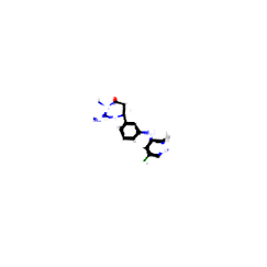 CN1C(=O)C[C@@](C)(c2cccc(Nc3cc(Cl)cnc3[N+](=O)[O-])c2)NC1=NC(=O)O